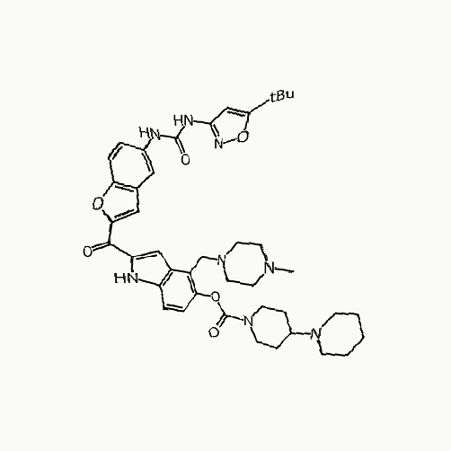 CN1CCN(Cc2c(OC(=O)N3CCC(N4CCCCC4)CC3)ccc3[nH]c(C(=O)c4cc5cc(NC(=O)Nc6cc(C(C)(C)C)on6)ccc5o4)cc23)CC1